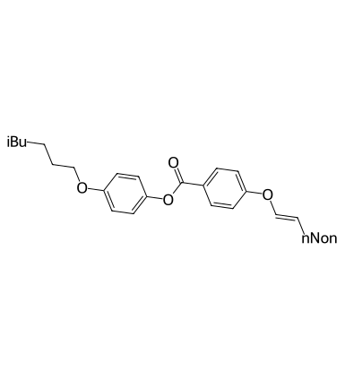 CCCCCCCCCC=COc1ccc(C(=O)Oc2ccc(OCCCC(C)CC)cc2)cc1